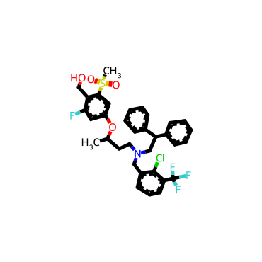 CC(CCN(Cc1cccc(C(F)(F)F)c1Cl)CC(c1ccccc1)c1ccccc1)Oc1cc(F)c(CO)c(S(C)(=O)=O)c1